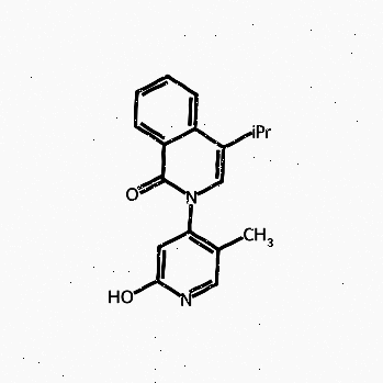 Cc1cnc(O)cc1-n1cc(C(C)C)c2ccccc2c1=O